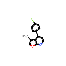 O=C(O)c1coc2nccc(-c3ccc(F)cc3)c12